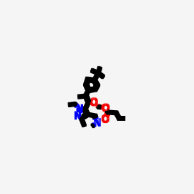 CCCC(=O)OCO/C(=C(/C)c1ccc(C(C)(C)C)cc1)c1c(/C=N\C)c(C)nn1CC